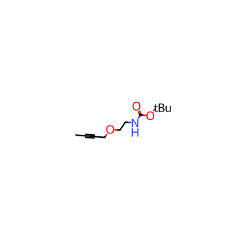 CC#CCOCCNC(=O)OC(C)(C)C